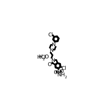 Cl.NS(=O)(=O)c1cc2c(cc1Cl)CN(CCCN1CCN(c3cccc(Cl)c3)CC1)C2=O.O